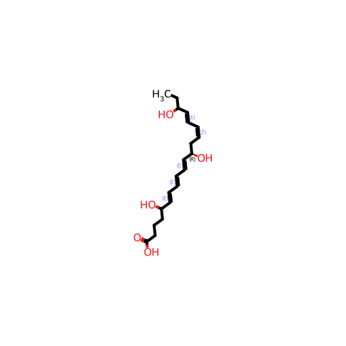 CCC(O)/C=C/C=C\C[C@@H](O)/C=C/C=C/C=C/C(O)CCCC(=O)O